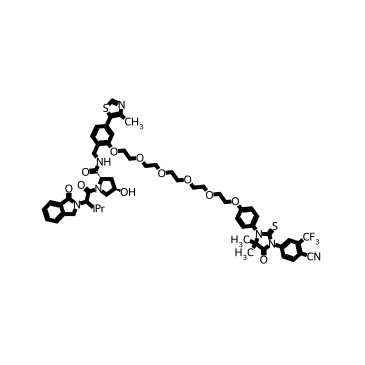 Cc1ncsc1-c1ccc(CNC(=O)[C@@H]2C[C@@H](O)CN2C(=O)C(C(C)C)N2Cc3ccccc3C2=O)c(OCCOCCOCCOCCOCCOc2ccc(N3C(=S)N(c4ccc(C#N)c(C(F)(F)F)c4)C(=O)C3(C)C)cc2)c1